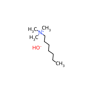 CCCCCCC[N+](C)(C)C.[OH-]